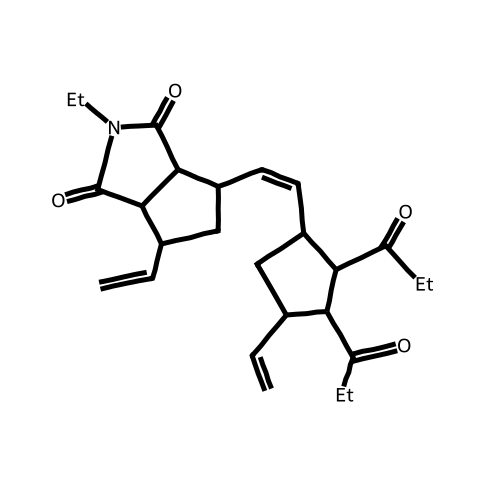 C=CC1CC(/C=C\C2CC(C=C)C3C(=O)N(CC)C(=O)C23)C(C(=O)CC)C1C(=O)CC